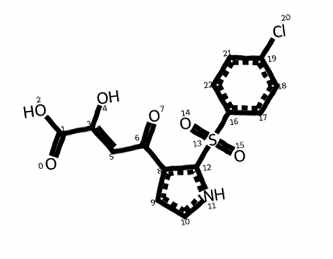 O=C(O)C(O)=CC(=O)c1cc[nH]c1S(=O)(=O)c1ccc(Cl)cc1